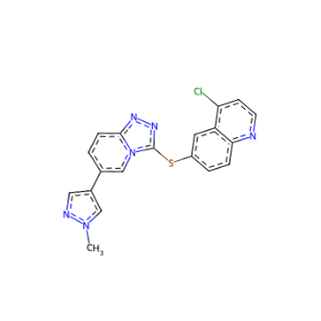 Cn1cc(-c2ccc3nnc(Sc4ccc5nccc(Cl)c5c4)n3c2)cn1